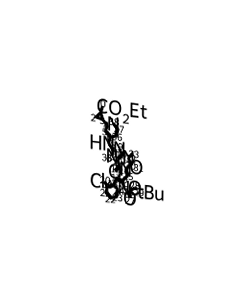 CCOC(=O)C1CC1c1cc(Nc2nc3c(c(=O)n(Cc4cc5c(Cl)cccc5n4C(=O)OC(C)(C)C)c(=O)n3C)n2C)ccn1